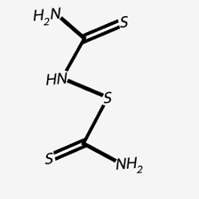 NC(=S)NSC(N)=S